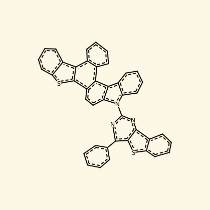 c1ccc(-c2nc(-n3c4ccccc4c4c5c6ccccc6c6c7ccccc7sc6c5ccc43)nc3c2sc2ccccc23)cc1